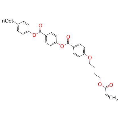 C=CC(=O)OCCCCOc1ccc(C(=O)Oc2ccc(C(=O)Oc3ccc(CCCCCCCC)cc3)cc2)cc1